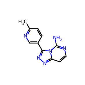 Cc1ccc(-c2nnc3ccnc(N)n23)cn1